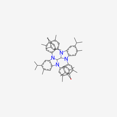 Cc1cc(C)c(N2c3cc(C(C)C)c(C)cc3N(c3cc(C)c(C)c(C)c3)C2C2N(c3cc(C)c(C)c(C)c3)c3cc(C)c(C(C)C)cc3N2c2cc(C)c(C)c(C)c2)cc1C